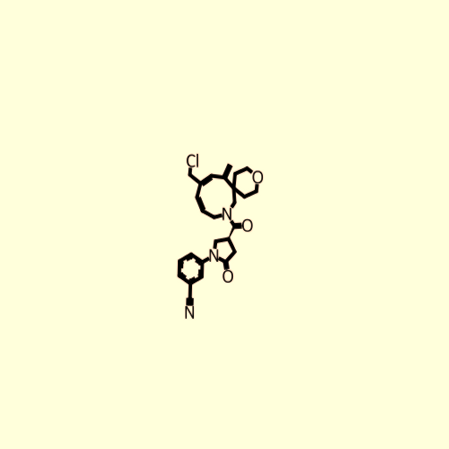 C=C1/C=C(CCl)\C=C/CN(C(=O)[C@H]2CC(=O)N(c3cccc(C#N)c3)C2)CC12CCOCC2